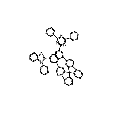 c1ccc(-c2nc(-c3ccccc3)nc(-c3cccc(-c4ccc5c(c4)C4(c6ccccc6-5)c5ccccc5-c5ccc(-c6cccc(-c7nc8ccccc8n7-c7ccccc7)c6)cc54)c3)n2)cc1